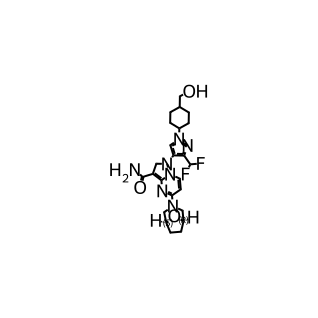 NC(=O)C1=C2N=C(N3C[C@H]4CC[C@@H](C3)O4)C=CN2N(c2cn(C3CCC(CO)CC3)nc2C(F)F)C1